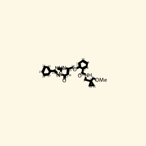 COCC1(CNC(=O)c2ccccc2OCc2cc(=O)n3nc(-c4ccccc4)nc3[nH]2)CC1